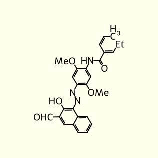 C/C=C\C(=C/CC)C(=O)Nc1cc(OC)c(/N=N/c2c(O)c(C=O)cc3ccccc23)cc1OC